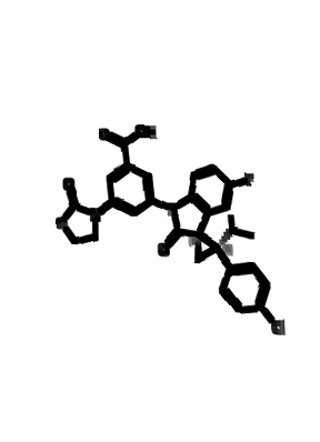 CC(C)[C@]1(c2ccc(Cl)cc2)C[C@]12C(=O)N(c1cc(C(=O)O)cc(N3CCOC3=O)c1)c1ccc(F)cc12